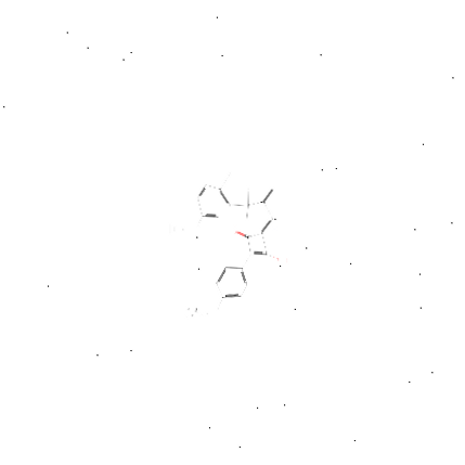 C=C(/C=C1\C(=O)C(c2ccc(OC)cc2)=C1O)C(C)(C)c1cc(S(=O)(=O)O)ccc1C